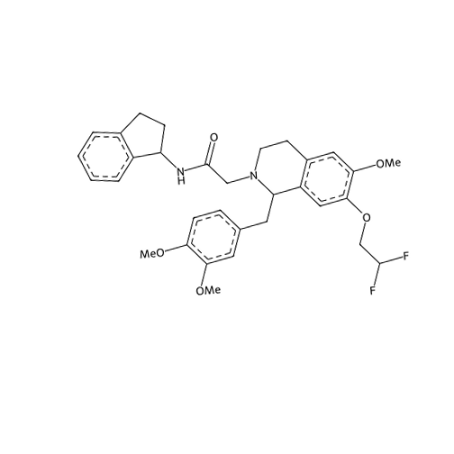 COc1ccc(CC2c3cc(OCC(F)F)c(OC)cc3CCN2CC(=O)NC2CCc3ccccc32)cc1OC